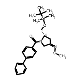 CON=C1C[C@@H](CO[Si](C)(C)C(C)(C)C)N(C(=O)c2ccc(-c3ccccc3)cc2)C1